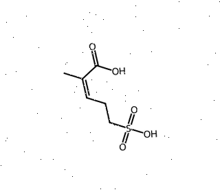 CC(=CCCS(=O)(=O)O)C(=O)O